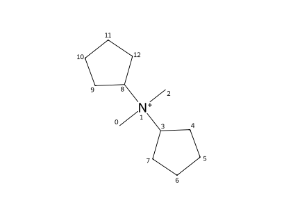 C[N+](C)(C1CCCC1)C1CCCC1